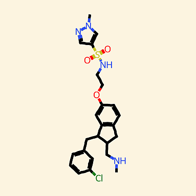 CNCC1Cc2ccc(OCCNS(=O)(=O)c3cnn(C)c3)cc2C1Cc1cccc(Cl)c1